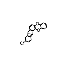 Clc1ccc2c(c1)C1SC2c2c1ccc1c2Oc2ccccc2O1